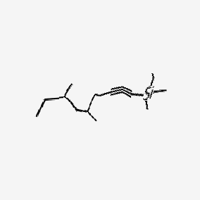 CCC(C)CC(C)CC#C[Si](C)(C)C